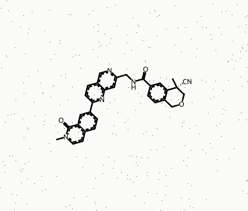 Cn1ccc2ccc(-c3ccc4cnc(CNC(=O)c5ccc6c(c5)[C@](C)(C#N)COC6)cc4n3)cc2c1=O